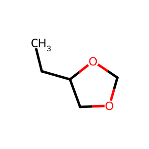 CCC1COCO1